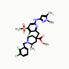 Cc1cc(Nc2cc(S(C)(=O)=O)c(F)c(CC3(C(=O)OC(C)(C)C)CCN(Cc4cccc(Cl)c4F)[C@H](C)C3)n2)nn1C(C)(C)C